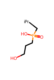 CC(C)CP(=O)(O)CCCO